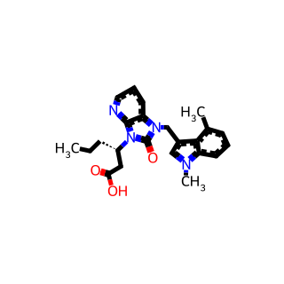 CCC[C@@H](CC(=O)O)n1c(=O)n(Cc2cn(C)c3cccc(C)c23)c2cccnc21